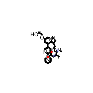 C=C(/C=C(F)\C(=N/C)OC)CN1C2CC1CN(c1ccc(-c3cc(OC[C@@H](C)O)cn4ncc(C#N)c34)cn1)C2